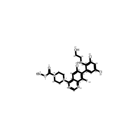 CC(C)(C)OC(=O)N1CCN(c2ncnc3c(F)c(-c4cc(Cl)cc(Cl)c4NCCO)c(Cl)cc23)CC1